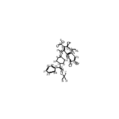 COC(=O)c1c(N(C)C2CCC(C(=NOC(C)(C)C)c3ccccc3)CC2)c2nc(Cl)c(Br)cc2n(C)c1=O